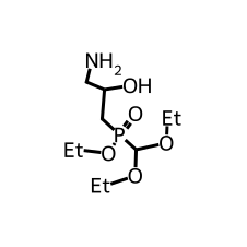 CCOC(OCC)P(=O)(CC(O)CN)OCC